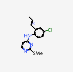 C/C=C/c1cc(Cl)ccc1Nc1ccnc(SC)n1